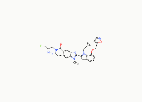 Cn1c(-c2cc3cccc(OCc4ccno4)c3n2CC2CC2)nc2cc3c(cc21)CCN(C[C@H](N)CF)C3=O